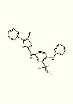 CC(F)(F)c1cc(Nc2nc(-c3cccnc3)c(F)s2)ccc1Oc1ccccc1